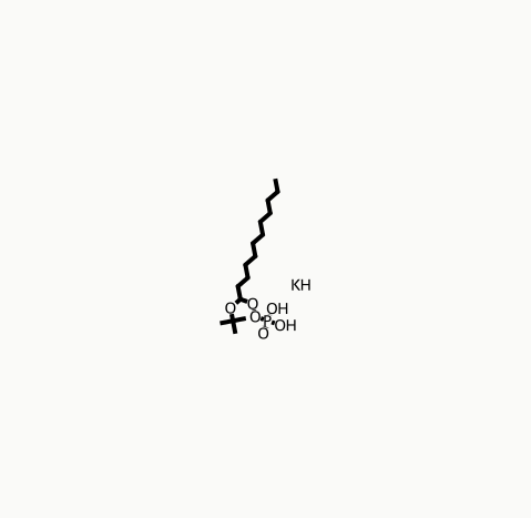 CCCCCCCCCCCC(OOP(=O)(O)O)OC(C)(C)C.[KH]